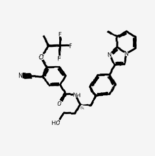 Cc1cccn2cc(-c3ccc(C[C@@H](CCO)NC(=O)c4ccc(OC(C)C(F)(F)F)c(C#N)c4)cc3)nc12